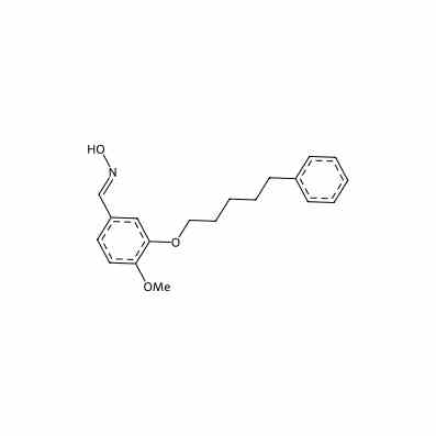 COc1ccc(C=NO)cc1OCCCCCc1ccccc1